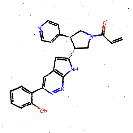 C=CC(=O)N1C[C@H](c2ccncc2)[C@@H](c2cc3cc(-c4ccccc4O)nnc3[nH]2)C1